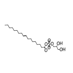 CCCCCCCCC=CCCCCCCCC(=O)OS(=O)(=O)OCC(O)CO